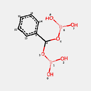 OB(O)OC(OB(O)O)c1ccccc1